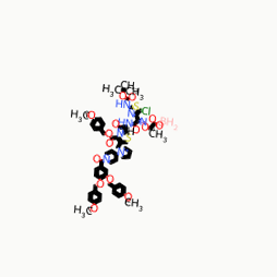 BOC(=O)[C@H](C)O/N=C(\C(=O)N[C@@H]1C(=O)N2C(C(=O)OCc3ccc(OC)cc3)=C(C[N+]3(C4CCN(C(=O)c5ccc(OCc6ccc(OC)cc6)c(OCc6ccc(OC)cc6)c5)CC4)CCCC3)CS[C@H]12)c1nc(NC(=O)OC(C)(C)C)sc1Cl